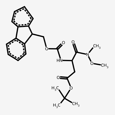 CON(C)C(=O)C(CC(=O)OC(C)(C)C)NC(=O)OCC1c2ccccc2-c2ccccc21